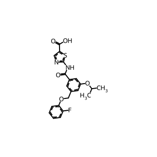 CC(C)Oc1cc(COc2ccccc2F)cc(C(=O)Nc2ncc(C(=O)O)s2)c1